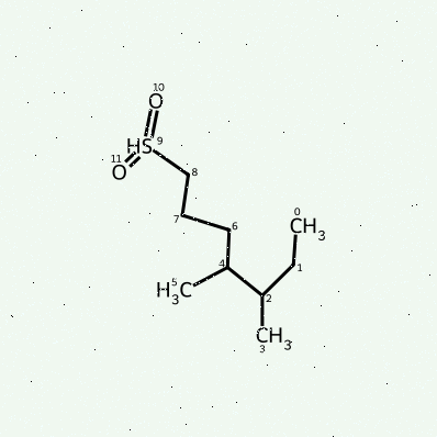 CCC(C)C(C)CCC[SH](=O)=O